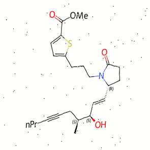 CCCC#CC[C@H](C)[C@H](O)C=C[C@H]1CCC(=O)N1CCCc1ccc(C(=O)OC)s1